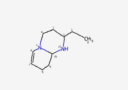 CCC1CCN2C=CCCC2N1